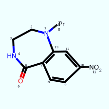 CC(C)N1CCNC(=O)c2ccc([N+](=O)[O-])cc21